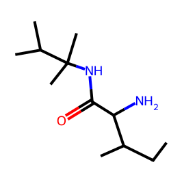 CCC(C)C(N)C(=O)NC(C)(C)C(C)C